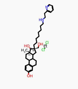 C[C@]12CCC3c4ccc(O)cc4CCC3C1C[C@@](CO)(CCCCCCCCNCCc1ccccn1)[C@@H]2O.[Cl][Pt][Cl]